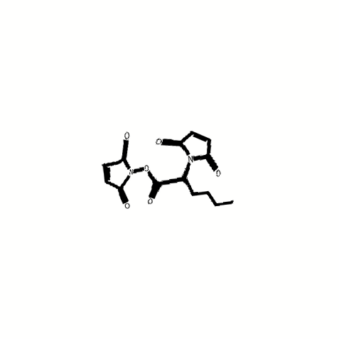 CCCCC(C(=O)ON1C(=O)C=CC1=O)N1C(=O)C=CC1=O